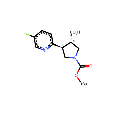 CC(C)(C)OC(=O)N1C[C@@H](C(=O)O)[C@H](c2ccc(F)cn2)C1